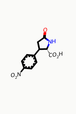 O=C1CC(c2ccc([N+](=O)[O-])cc2)[C@@H](C(=O)O)N1